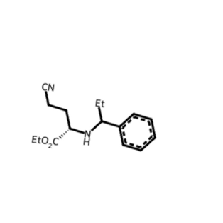 CCOC(=O)[C@H](CCC#N)NC(CC)c1ccccc1